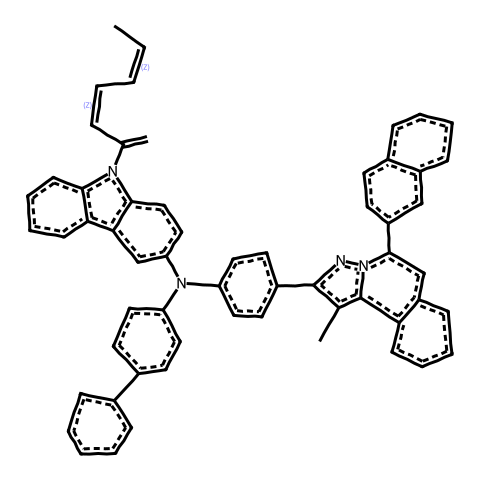 C=C(/C=C\C=C/C)n1c2ccccc2c2cc(N(c3ccc(-c4ccccc4)cc3)c3ccc(-c4nn5c(-c6ccc7ccccc7c6)cc6ccccc6c5c4C)cc3)ccc21